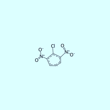 O=[N+]([O-])c1c[c]cc([N+](=O)[O-])c1Cl